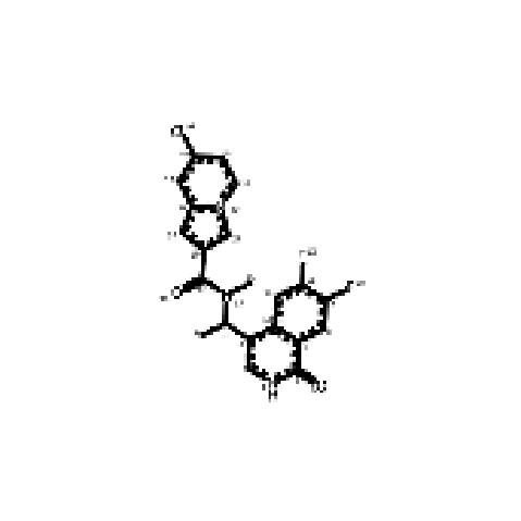 CC(c1c[nH]c(=O)c2cc(F)c(F)cc12)N(C)C(=O)c1cc2cc(Cl)ccn2c1